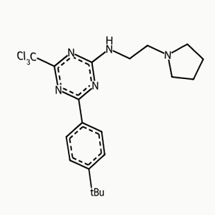 CC(C)(C)c1ccc(-c2nc(NCCN3CCCC3)nc(C(Cl)(Cl)Cl)n2)cc1